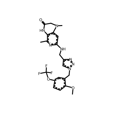 COc1ccc(OC(F)(F)F)cc1Cn1cc(CNc2cc3c(c(C)n2)NC(=O)CN3C)nn1